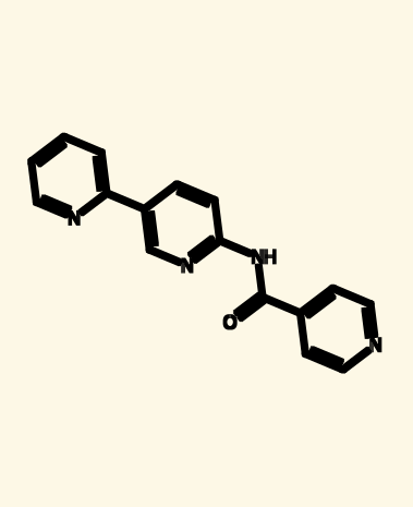 O=C(Nc1ccc(-c2ccccn2)cn1)c1ccncc1